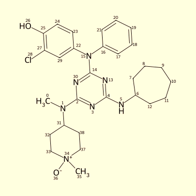 CN(c1nc(NC2CCCCCC2)nc(N(c2ccccc2)c2ccc(O)c(Cl)c2)n1)C1CC[N+](C)([O-])CC1